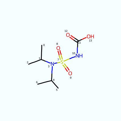 CC(C)N(C(C)C)S(=O)(=O)NC(=O)O